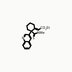 CCOC(=O)/C=C1\CCCCC1(C(=S)NC)c1cnc2ccccc2c1